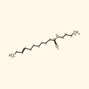 CCC=CCCCCCCC(=O)OCCCC